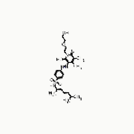 Cc1c(/N=N/c2ccc(S(=O)(=O)NC(C)CCCC(C)C)cc2)c(O)n(CCOCCO)c(=O)c1C